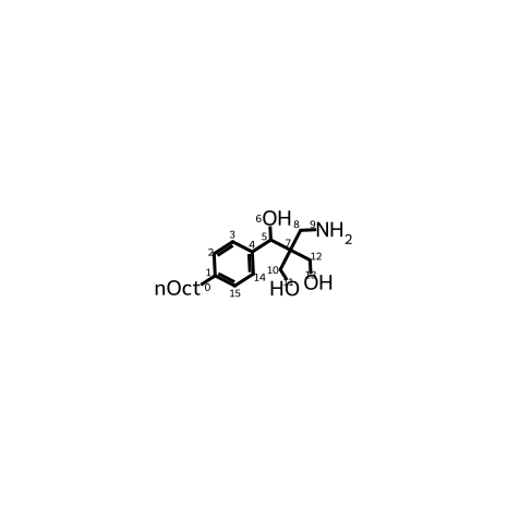 CCCCCCCCc1ccc(C(O)C(CN)(CO)CO)cc1